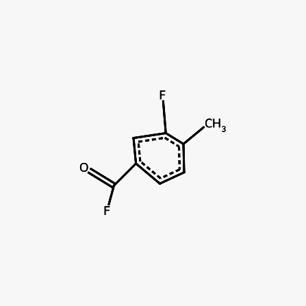 Cc1ccc(C(=O)F)cc1F